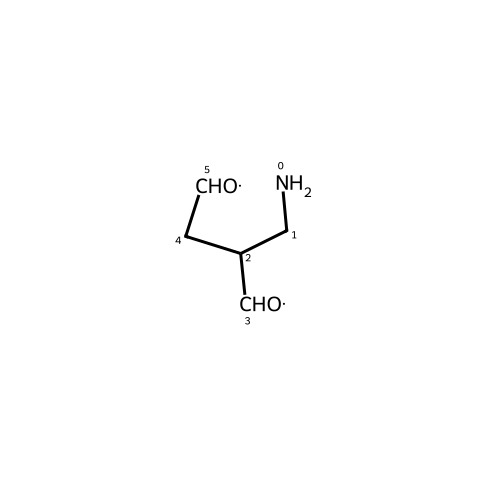 NCC([C]=O)C[C]=O